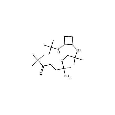 CC(C)(C)BC1CCC1BC(C)(C)COC(C)(N)CCC(=O)C(C)(C)C